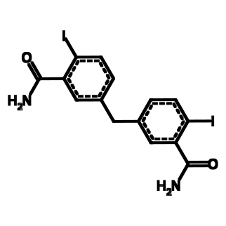 NC(=O)c1cc(Cc2ccc(I)c(C(N)=O)c2)ccc1I